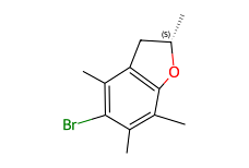 Cc1c(C)c2c(c(C)c1Br)C[C@H](C)O2